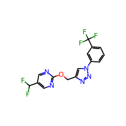 FC(F)c1cnc(OCc2cn(-c3cccc(C(F)(F)F)c3)nn2)nc1